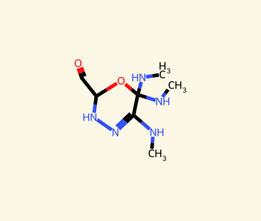 CNC1=NNC(C=O)OC1(NC)NC